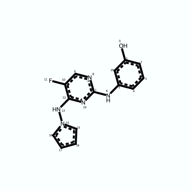 Oc1cccc(Nc2ncc(F)c(Nn3cccc3)n2)c1